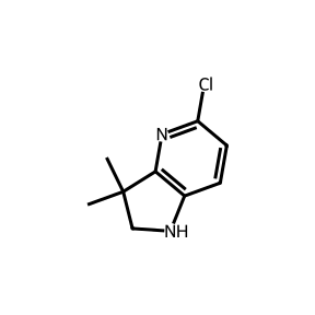 CC1(C)CNc2ccc(Cl)nc21